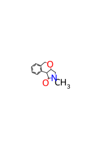 CN1CC2OCc3ccccc3C2C1=O